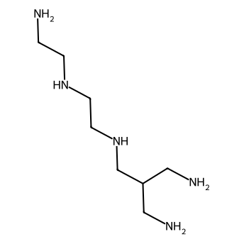 NCCNCCNCC(CN)CN